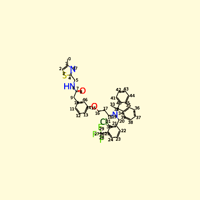 Cc1csc(CNC(=O)Cc2cccc(OCCCN(Cc3cccc(C(F)(F)F)c3Cl)C(C)(c3ccccc3)c3ccccc3)c2)n1